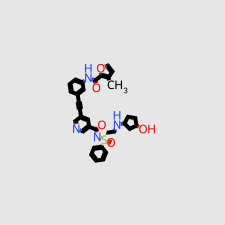 Cc1ccoc1C(=O)Nc1cccc(C#Cc2cncc(C(=O)N=[S@](=O)(CCNC3CCC(O)C3)c3ccccc3)c2)c1